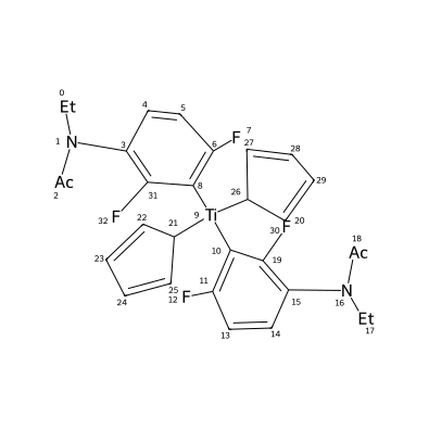 CCN(C(C)=O)c1ccc(F)[c]([Ti]([c]2c(F)ccc(N(CC)C(C)=O)c2F)([CH]2C=CC=C2)[CH]2C=CC=C2)c1F